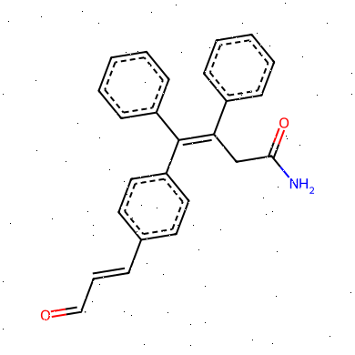 NC(=O)CC(=C(c1ccccc1)c1ccc(C=C[C]=O)cc1)c1ccccc1